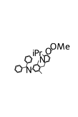 COCOc1ccc(Cc2c(C)cc(N=C(c3ccccc3)c3ccccc3)cc2C)nc1C(C)C